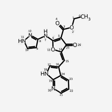 CCOC(=O)C1=C(Nc2cc[nH]n2)O/C(=C\c2c[nH]c3ncccc23)C1=O